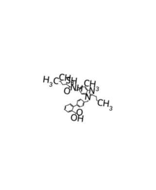 CCCc1nc2c(C)cc(CNC(=O)[C@H](S)CC(C)C)cc2n1Cc1ccc(-c2ccccc2C(=O)O)cc1